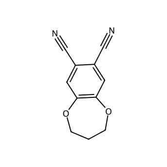 N#Cc1cc2c(cc1C#N)OCCCO2